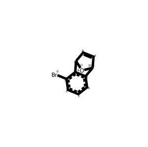 Brc1cccc2c1C1C=CC2O1